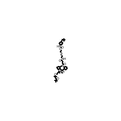 CC(C)(C)Cc1ccc(NC(=O)OCCSSCCNC(=O)CCC(=O)N2Cc3ccccc3-c3c(nnn3C(C)(C)CCOC(C)(C)CC(=O)C(C)(C)C)-c3ccccc32)cc1